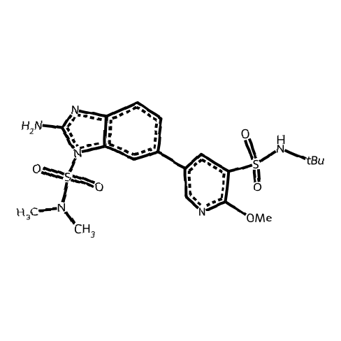 COc1ncc(-c2ccc3nc(N)n(S(=O)(=O)N(C)C)c3c2)cc1S(=O)(=O)NC(C)(C)C